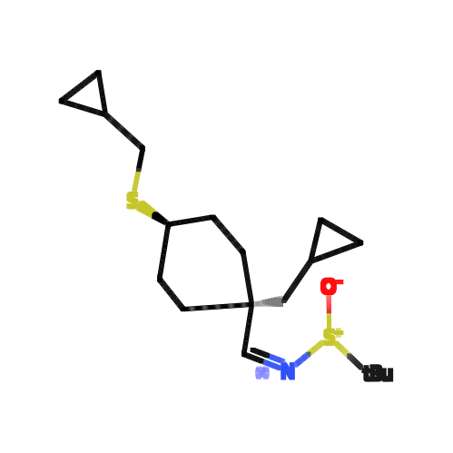 CC(C)(C)[S+]([O-])/N=C\[C@]1(CC2CC2)CC[C@H](SCC2CC2)CC1